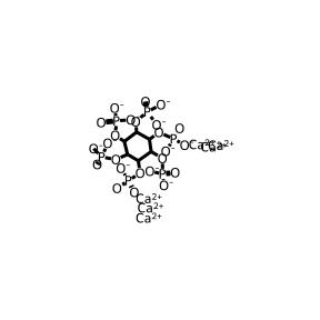 O=P([O-])([O-])OC1C(OP(=O)([O-])[O-])C(OP(=O)([O-])[O-])C(OP(=O)([O-])[O-])C(OP(=O)([O-])[O-])C1OP(=O)([O-])[O-].[Ca+2].[Ca+2].[Ca+2].[Ca+2].[Ca+2].[Ca+2]